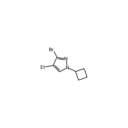 [CH2]Cc1cn(C2CCC2)nc1Br